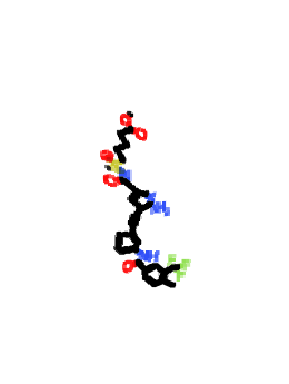 COC(=O)CCCCS(C)(=O)=NC(=O)c1cnc(N)c(C#Cc2cccc(NC(=O)c3ccc(C)c(C(F)(F)F)c3)c2)c1